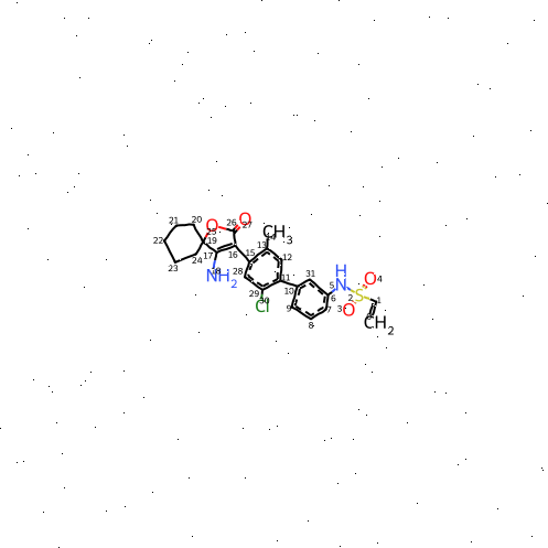 C=CS(=O)(=O)Nc1cccc(-c2cc(C)c(C3=C(N)C4(CCCCC4)OC3=O)cc2Cl)c1